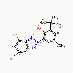 Cc1cc(-n2nc3cc(C)cc(Br)c3n2)c(O)c(C(C)(C)C)c1